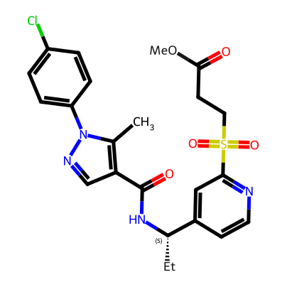 CC[C@H](NC(=O)c1cnn(-c2ccc(Cl)cc2)c1C)c1ccnc(S(=O)(=O)CCC(=O)OC)c1